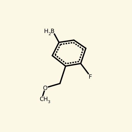 Bc1ccc(F)c(COC)c1